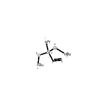 C=C[Si](CCC)(OCCCC)OCCCC